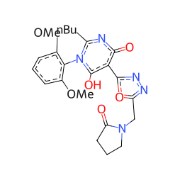 CCCCc1nc(=O)c(-c2nnc(CN3CCCC3=O)o2)c(O)n1-c1c(OC)cccc1OC